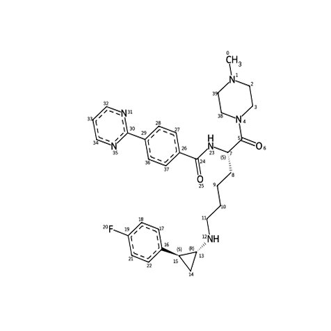 CN1CCN(C(=O)[C@H](CCCCN[C@@H]2C[C@H]2c2ccc(F)cc2)NC(=O)c2ccc(-c3ncccn3)cc2)CC1